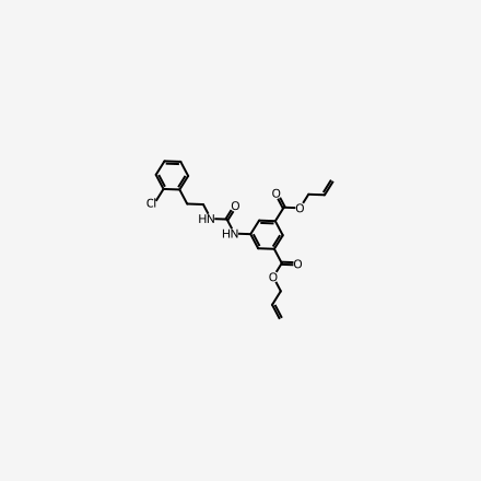 C=CCOC(=O)c1cc(NC(=O)NCCc2ccccc2Cl)cc(C(=O)OCC=C)c1